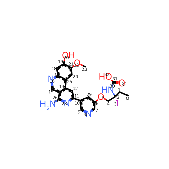 CC[C@@](I)(COc1cncc(-c2cc3c(cnc4cc(O)c(OC)cc43)c(N)n2)c1)NC(=O)O